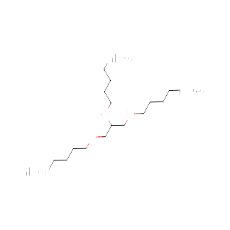 CCCCCCCCCCCCCCOCC(COCCCCCCCCCCCCCC)OCCCCCCCCCCCCCC